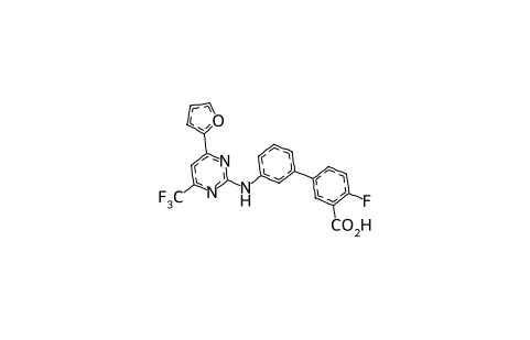 O=C(O)c1cc(-c2cccc(Nc3nc(-c4ccco4)cc(C(F)(F)F)n3)c2)ccc1F